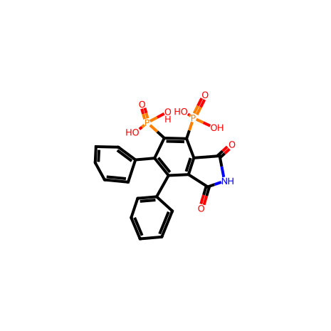 O=C1NC(=O)c2c1c(-c1ccccc1)c(-c1ccccc1)c(P(=O)(O)O)c2P(=O)(O)O